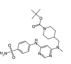 CN(CC1CCN(C(=O)OC(C)(C)C)CC1)c1cc(Nc2ccc(S(N)(=O)=O)cc2)ncn1